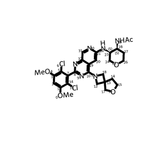 COc1cc(OC)c(Cl)c(-c2nc(N3CC4(CCOC4)C3)c3cc(N[C@@H]4COCC[C@@H]4NC(C)=O)ncc3n2)c1Cl